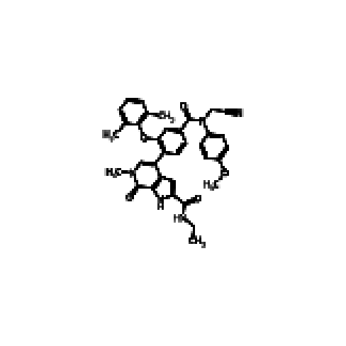 CCNC(=O)c1cc2c(-c3ccc(C(=O)N(CC#N)c4ccc(OC)cc4)cc3Oc3c(C)cccc3C)cn(C)c(=O)c2[nH]1